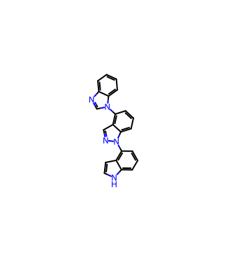 c1ccc2c(c1)ncn2-c1cccc2c1cnn2-c1cccc2[nH]ccc12